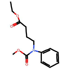 CCOC(=O)CCCN(C(=O)OC)c1ccccc1